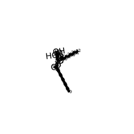 CC#CC#CC#CC#CC#CC(=O)OC[C@H](COP(=O)(O)O)OC(=O)CCCCCCCC